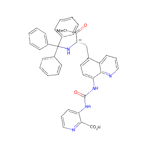 COC(=O)[C@H](Cc1ccc(NC(=O)Nc2cccnc2C(=O)O)c2ncccc12)NC(c1ccccc1)(c1ccccc1)c1ccccc1